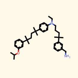 CCN(CCCC(C)(C)c1cccc(CN)c1)c1ccc(C(C)(C)CCC(C)(C)c2cccc(OC(C)C)c2)cc1